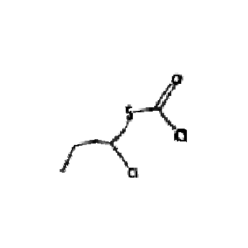 CCC(Cl)SC(=O)Cl